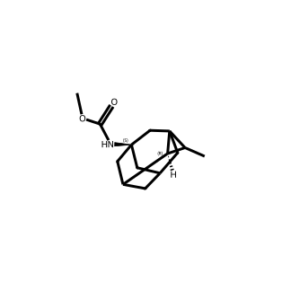 COC(=O)N[C@@]12CC3CC(C1)[C@@H]1C(C)C1(C3)C2